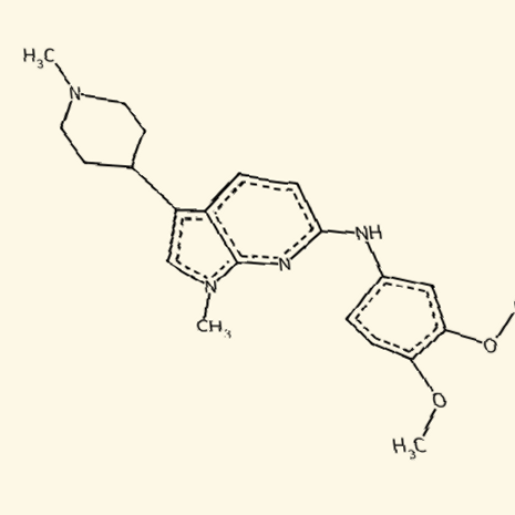 COc1ccc(Nc2ccc3c(C4CCN(C)CC4)cn(C)c3n2)cc1OC